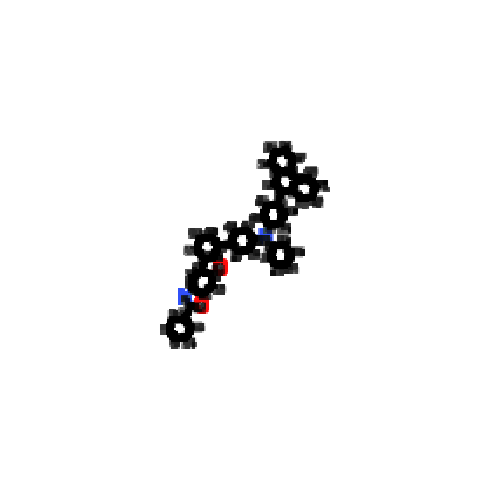 c1ccc(-c2nc3cc4c(cc3o2)oc2c(-c3ccc(N(c5ccccc5)c5ccc(-c6cc7ccccc7c7ccccc67)cc5)cc3)cccc24)cc1